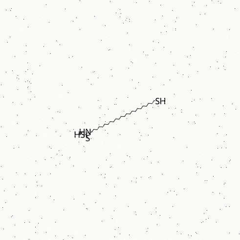 S=C(S)NCCCCCCCCCCCCCCCCCCCCCCCCS